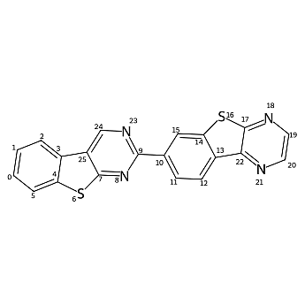 c1ccc2c(c1)sc1nc(-c3ccc4c(c3)sc3nccnc34)ncc12